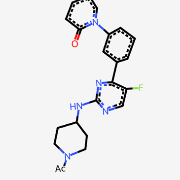 CC(=O)N1CCC(Nc2ncc(F)c(-c3cccc(-n4ccccc4=O)c3)n2)CC1